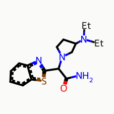 CCN(CC)C1CCN(C(C(N)=O)c2nc3ccccc3s2)C1